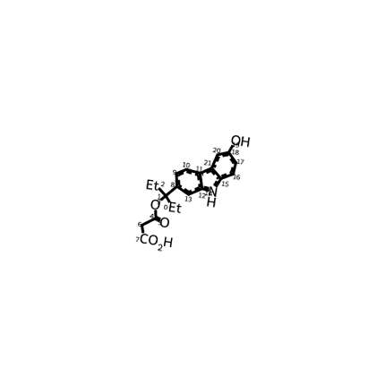 CCC(CC)(OC(=O)CC(=O)O)c1ccc2c(c1)[nH]c1ccc(O)cc12